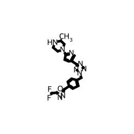 C[C@H]1CN(c2ccc(-c3nnn(Cc4ccc(-c5nnc(C(F)F)o5)cc4)n3)cn2)CCN1